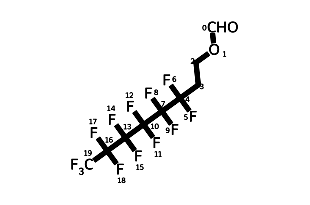 O=COCCC(F)(F)C(F)(F)C(F)(F)C(F)(F)C(F)(F)C(F)(F)F